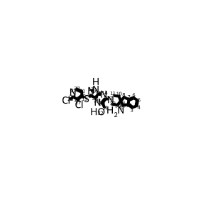 N[C@@H]1c2ccccc2CC12CCN(c1nc3[nH]nc(Sc4ccnc(Cl)c4Cl)c3nc1CO)CC2